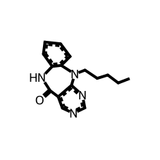 CCCCCN1c2ccccc2NC(=O)c2cncnc21